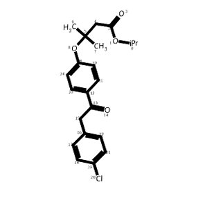 CC(C)OC(=O)CC(C)(C)Oc1ccc(C(=O)Cc2ccc(Cl)cc2)cc1